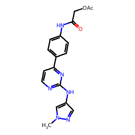 CC(=O)OCC(=O)Nc1ccc(-c2ccnc(Nc3cnn(C)c3)n2)cc1